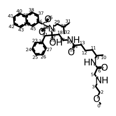 COCCNCC(=O)NC(C)CCCC(=O)NCCC(O)(Cc1ccccc1)N(CC(C)C)S(=O)(=O)c1ccc2ccccc2c1